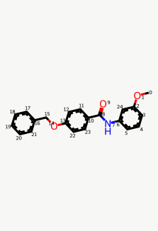 COc1cccc(NC(=O)c2ccc(OCc3ccccc3)cc2)c1